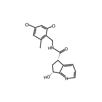 Cc1cc(Cl)cc(Cl)c1CNC(=O)[C@H]1C[C@@H](O)c2ncccc21